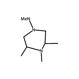 CNN1CC(C)N(C)C(C)C1